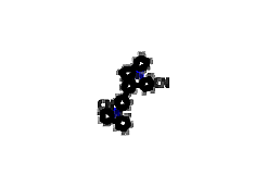 N#Cc1ccc(-c2cccc(-c3ccc(-n4c5c(c6cccc(C#N)c64)C=CCC5)cc3)c2)c(-n2c3ccccc3c3ccccc32)c1